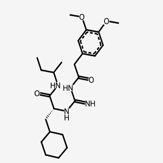 CCC(C)NC(=O)[C@@H](CC1CCCCC1)NC(=N)NC(=O)Cc1ccc(OC)c(OC)c1